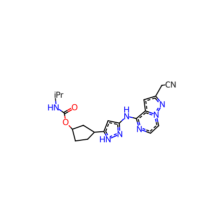 CC(C)NC(=O)OC1CCC(c2cc(Nc3nccn4nc(CC#N)cc34)n[nH]2)C1